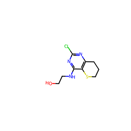 OCCNc1nc(Cl)nc2c1SCCC2